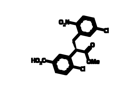 COC(=O)[C@@H](Cc1cc(Cl)ccc1[N+](=O)[O-])c1cc(C(=O)O)ccc1Cl